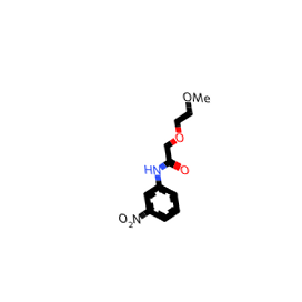 COCCOCC(=O)Nc1cccc([N+](=O)[O-])c1